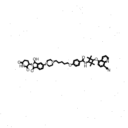 CC1(C)C(NC(=O)c2ccc(OCCCCCN3CCN(c4ccc5c(c4)C(O)N(C4CCC(=O)NC4=O)C5=O)CC3)cc2)C(C)(C)C1Oc1ccc(C#N)c2ncccc12